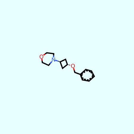 c1ccc(CO[C@H]2C[C@H](N3CCOCC3)C2)cc1